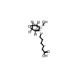 O=C(O)CCCCCC[C@H]1[C@@H](CO)[C@@H]2O[C@H]1[C@@H]1O[C@@H]12